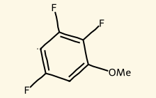 COc1cc(F)[c]c(F)c1F